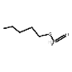 CCCCCS[PH2]=O